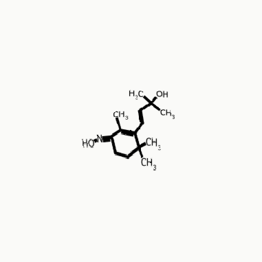 CC1=C(C=CC(C)(C)O)C(C)(C)CCC1=NO